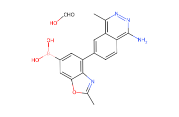 Cc1nc2c(-c3ccc4c(N)nnc(C)c4c3)cc(B(O)O)cc2o1.O=CO